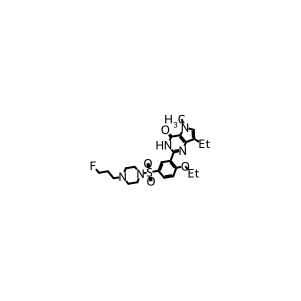 CCOc1ccc(S(=O)(=O)N2CCN(CCCF)CC2)cc1-c1nc2c(CC)cn(C)c2c(=O)[nH]1